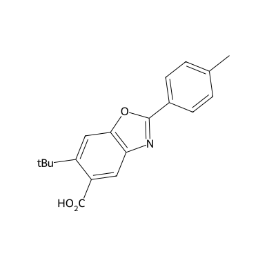 Cc1ccc(-c2nc3cc(C(=O)O)c(C(C)(C)C)cc3o2)cc1